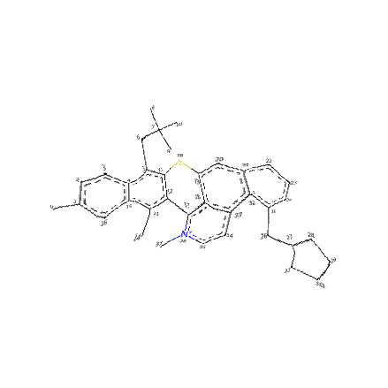 Cc1ccc2c(CC(C)(C)C)c3c(c(C)c2c1)-c1c2c(cc4cccc(CC5CCCC5)c4c2cc[n+]1C)S3